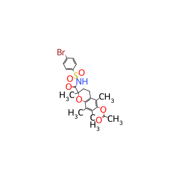 CC(=O)Oc1c(C)c(C)c2c(c1C)CCC(C)(C(=O)NS(=O)(=O)c1ccc(Br)cc1)O2